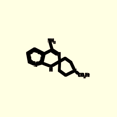 CCOC(=O)N1CCC2(CC1)N=C(N)c1cccnc1N2